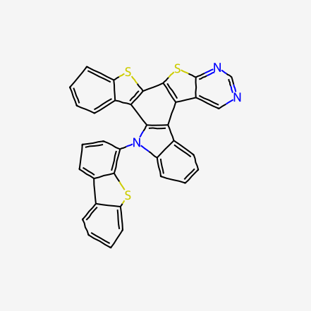 c1ccc2c(c1)sc1c(-n3c4ccccc4c4c5c6cncnc6sc5c5sc6ccccc6c5c43)cccc12